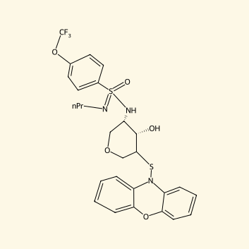 CCCN=S(=O)(N[C@H]1COCC(SN2c3ccccc3Oc3ccccc32)[C@H]1O)c1ccc(OC(F)(F)F)cc1